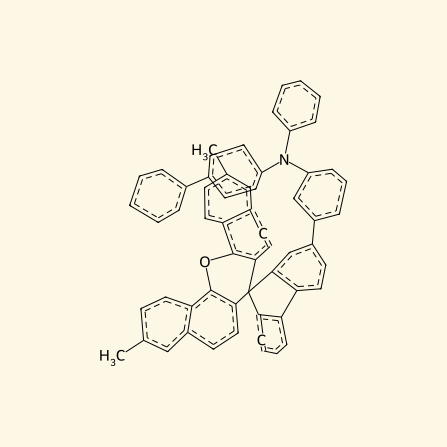 Cc1ccc2c3c(ccc2c1)C1(c2ccccc2-c2ccc(-c4cccc(N(c5ccccc5)c5ccc(-c6ccccc6)cc5)c4)cc21)c1ccc2cc(C)ccc2c1O3